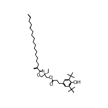 C=C(CCCCCCCCCCCCCCCC)C1=NC(CC)(COC(=O)CCc2cc(C(C)(C)C)c(O)c(C(C)(C)C)c2)CO1